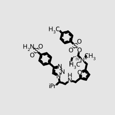 Cc1ccc(S(=O)(=O)O[C@@H](CF)[N+](C)(C)Cc2ccc(CNCC(C(C)C)n3cc(-c4ccc(S(N)(=O)=O)cc4)nn3)o2)cc1